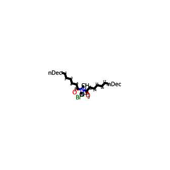 CCCCCCCCCCCCCCCC(=O)[N+](C)(C)C(=O)CCCCCCCCCCCCCCC.[Br-]